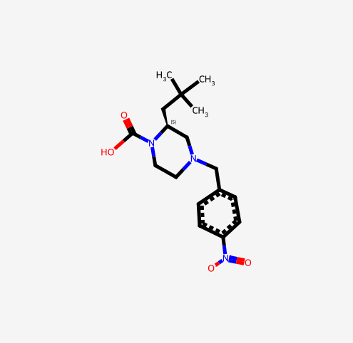 CC(C)(C)C[C@H]1CN(Cc2ccc([N+](=O)[O-])cc2)CCN1C(=O)O